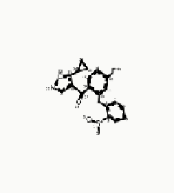 C[S+]([O-])c1ccccc1Cc1cc(F)ccc1C(=O)c1cnoc1C1CC1